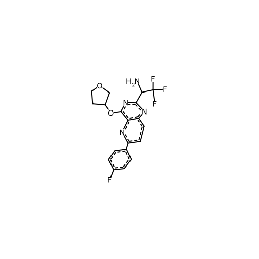 NC(c1nc(OC2CCOC2)c2nc(-c3ccc(F)cc3)ccc2n1)C(F)(F)F